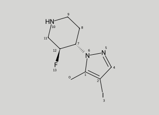 Cc1c(I)cnn1[C@H]1CCNC[C@@H]1F